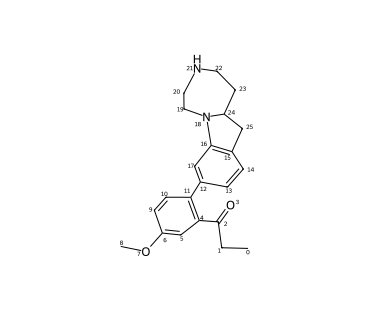 CCC(=O)c1cc(OC)ccc1-c1ccc2c(c1)N1CCNCCC1C2